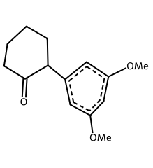 COc1cc(OC)cc(C2CCCCC2=O)c1